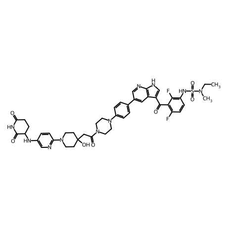 CCN(C)S(=O)(=O)Nc1ccc(F)c(C(=O)c2c[nH]c3ncc(-c4ccc(N5CCN(C(=O)CC6(O)CCN(c7ccc(NC8CCC(=O)NC8=O)cn7)CC6)CC5)cc4)cc23)c1F